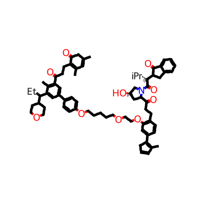 CCC(c1cc(-c2ccc(OCCCCCOCCOc3cc(C4=C(C)C=CC4)ccc3CCC(=O)C3C[C@@H](O)CN3C(=O)[C@H](C(C)C)C3Cc4ccccc4C3=O)cc2)cc(C(=O)CCC2=C(C)C=C(C)CC2=O)c1C)C1CCOCC1